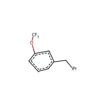 CC(C)Cc1c[c]cc(OC(F)(F)F)c1